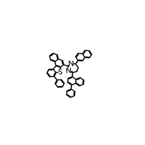 c1ccc(-c2ccc(C3=NC(c4cc5ccccc5c5c4sc4c(-c6ccccc6)cccc45)=NC(c4ccc5ccccc5c4)CC3)c3ccccc23)cc1